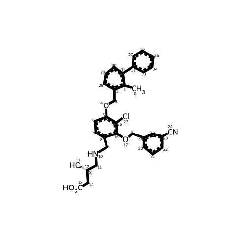 Cc1c(COc2ccc(CNC[C@@H](O)CC(=O)O)c(OCc3cccc(C#N)c3)c2Cl)cccc1-c1ccccc1